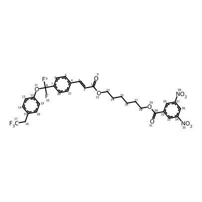 O=C(/C=C/c1ccc(C(F)(F)Oc2ccc(CC(F)(F)F)cc2)cc1)OCCCCCCOC(=O)c1cc([N+](=O)[O-])cc([N+](=O)[O-])c1